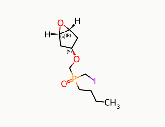 CCCCP(=O)(CI)CO[C@H]1C[C@@H]2O[C@@H]2C1